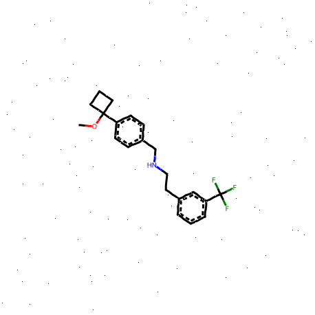 COC1(c2ccc(CNCCc3cccc(C(F)(F)F)c3)cc2)CCC1